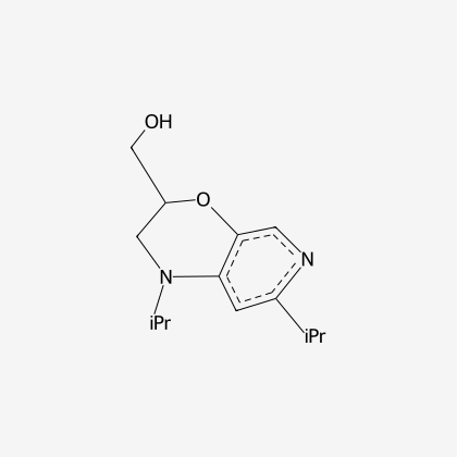 CC(C)c1cc2c(cn1)OC(CO)CN2C(C)C